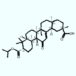 CC(C)OC(=O)[C@H]1CC[C@]2(C)[C@H]3C(=O)C=C4[C@@H]5C[C@@](C)(C(=O)O)CC[C@]5(C)CC[C@@]4(C)[C@]3(C)CC[C@H]2C1(C)C